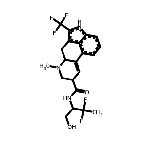 CN1CC(C(=O)NC(CO)C(C)(F)F)C=C2c3cccc4[nH]c(C(F)(F)F)c(c34)CC21